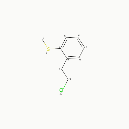 CSc1ccccc1CCCl